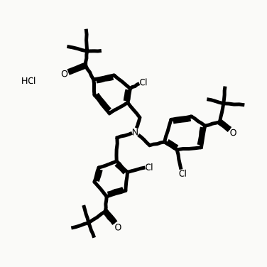 CC(C)(C)C(=O)c1ccc(CN(Cc2ccc(C(=O)C(C)(C)C)cc2Cl)Cc2ccc(C(=O)C(C)(C)C)cc2Cl)c(Cl)c1.Cl